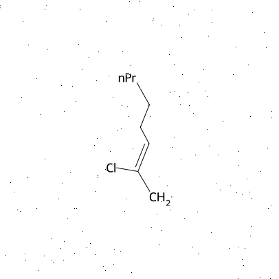 [CH2]C(Cl)=CCCCCC